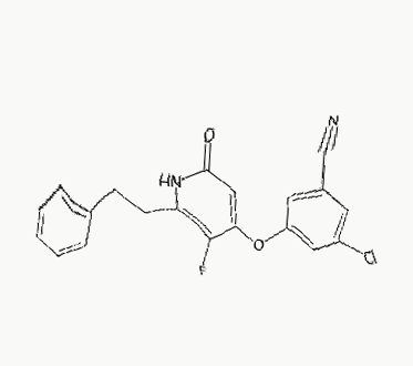 N#Cc1cc(Cl)cc(Oc2cc(=O)[nH]c(CCc3ccccc3)c2F)c1